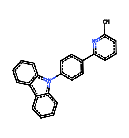 N#Cc1cccc(-c2ccc(-n3c4ccccc4c4ccccc43)cc2)n1